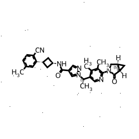 Cc1ccc(C#N)c([C@H]2C[C@@H](NC(=O)c3cnn([C@@H](C)c4cnc(N5C[C@H]6C[C@H]6C5=O)c(C)c4C)c3)C2)c1